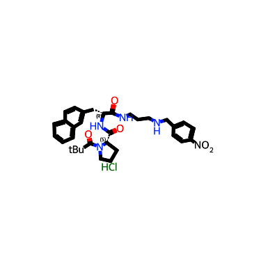 CC(C)(C)C(=O)N1CCC[C@H]1C(=O)N[C@H](Cc1ccc2ccccc2c1)C(=O)NCCCNCc1ccc([N+](=O)[O-])cc1.Cl